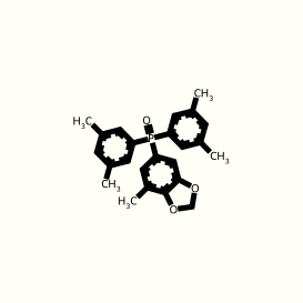 Cc1cc(C)cc(P(=O)(c2cc(C)cc(C)c2)c2cc(C)c3c(c2)OCO3)c1